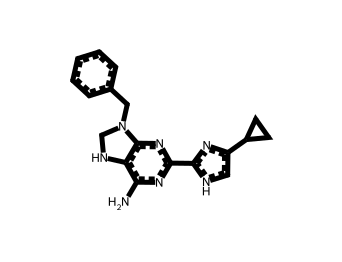 Nc1nc(-c2nc(C3CC3)c[nH]2)nc2c1NCN2Cc1ccccc1